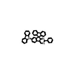 c1ccc(-c2ncc3c(n2)C2(c4ccccc4-c4ccccc42)c2cc(-n4c5ccccc5c5ccccc54)ccc2-3)cc1